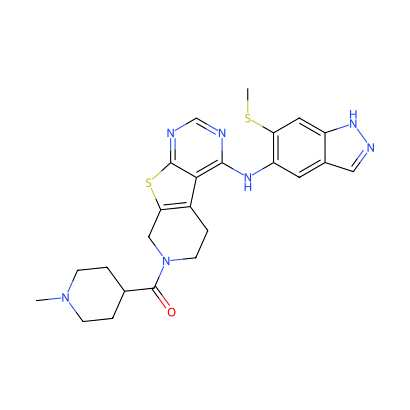 CSc1cc2[nH]ncc2cc1Nc1ncnc2sc3c(c12)CCN(C(=O)C1CCN(C)CC1)C3